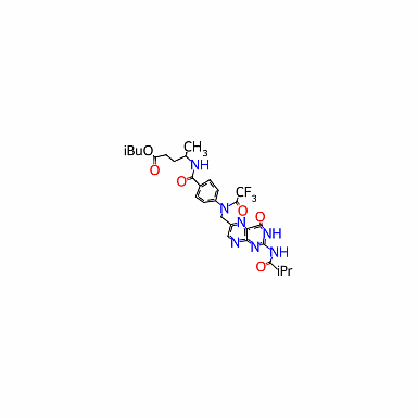 CC(C)COC(=O)CC[C@@H](C)NC(=O)c1ccc(N(Cc2cnc3nc(NC(=O)C(C)C)[nH]c(=O)c3n2)C(=O)C(F)(F)F)cc1